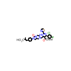 COC(=O)C1=C(CN2CCN3C(=O)N(c4ccc(/C=C(\C)C(=O)O)cc4)CC3C2)NC(c2nccs2)=NC1c1ccc(F)cc1Cl